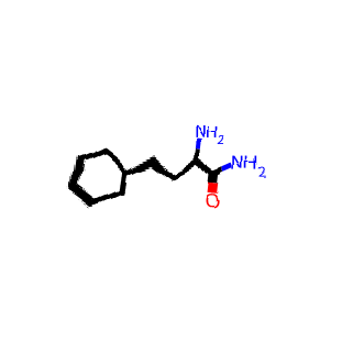 NC(=O)C(N)CCC1CCCCC1